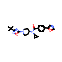 CC(C)(C)c1noc(N2CCC(N(C(=O)c3ccc(-c4cnco4)cc3)C3CC3)CC2)n1